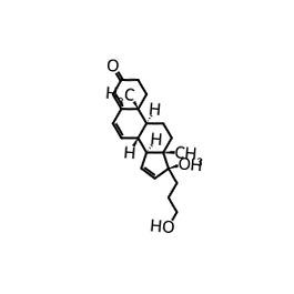 C[C@]12CCC(=O)C=C1C=C[C@@H]1[C@@H]2CC[C@@]2(C)[C@H]1C=C[C@@]2(O)CCCO